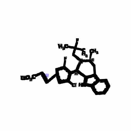 CCOC(=O)/C=C/c1cc(F)c([C@@H]2c3[nH]c4ccccc4c3C[C@@H](C)N2CC(C)(C)F)c(Cl)c1